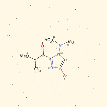 COC(C)C(=O)c1nc(Br)cn1N(C(=O)O)C(C)(C)C